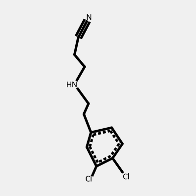 N#CCCNCCc1ccc(Cl)c(Cl)c1